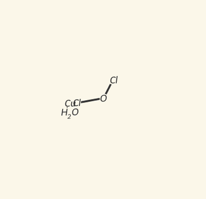 ClOCl.O.[Cu]